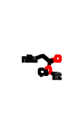 CCCCCC(=O)OCC.[Cs]